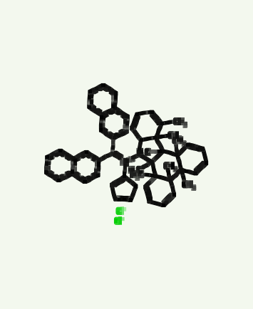 CC1=CC=CC2[CH]([Hf+2]([C]3=CC=CC3)=[C](c3ccc4ccccc4c3)c3ccc4ccccc4c3)C3(C)C4(C)C=CC=CC4(C)C4(C)C=CC=CC4(C)C3(C)C12C.[Cl-].[Cl-]